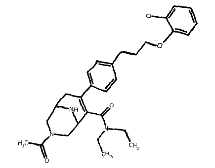 CCN(CC)C(=O)C1=C(c2ccc(CCCOc3ccccc3Cl)cc2)CC2CN(C(C)=O)CC1N2